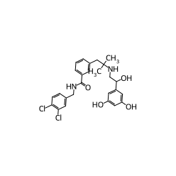 CC(C)(Cc1cccc(C(=O)NCc2ccc(Cl)c(Cl)c2)c1)NCC(O)c1cc(O)cc(O)c1